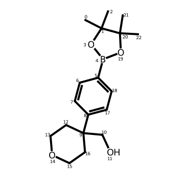 CC1(C)OB(c2ccc(C3(CO)CCOCC3)cc2)OC1(C)C